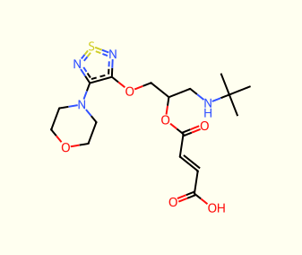 CC(C)(C)NCC(COc1nsnc1N1CCOCC1)OC(=O)C=CC(=O)O